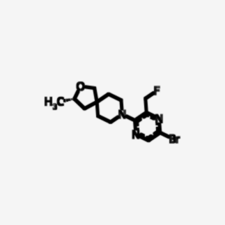 C[C@H]1CC2(CCN(c3ncc(Br)nc3CF)CC2)CO1